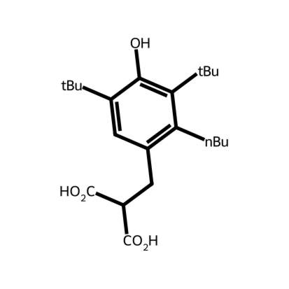 CCCCc1c(CC(C(=O)O)C(=O)O)cc(C(C)(C)C)c(O)c1C(C)(C)C